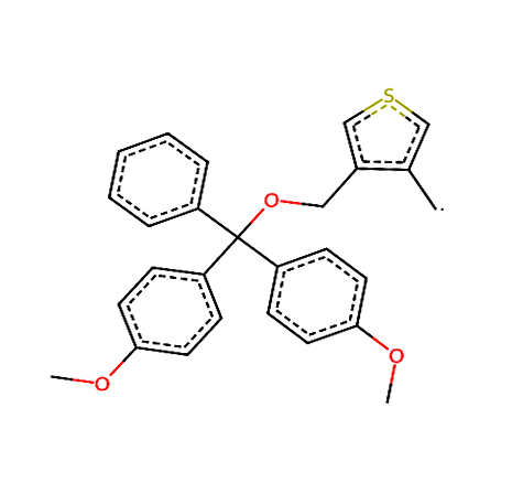 [CH2]c1cscc1COC(c1ccccc1)(c1ccc(OC)cc1)c1ccc(OC)cc1